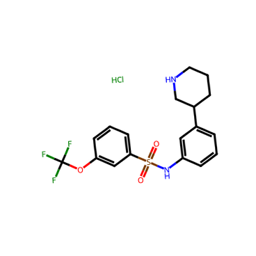 Cl.O=S(=O)(Nc1cccc(C2CCCNC2)c1)c1cccc(OC(F)(F)F)c1